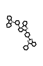 c1ccc(-c2nc(-c3ccc(-c4nc5ccccc5c5c(-c6cccc(-n7c8ccccc8c8ccccc87)c6)cccc45)cc3)nc3ccccc23)cc1